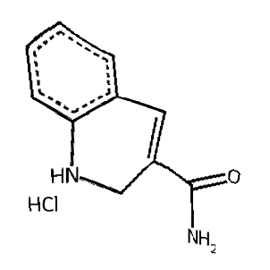 Cl.NC(=O)C1=Cc2ccccc2NC1